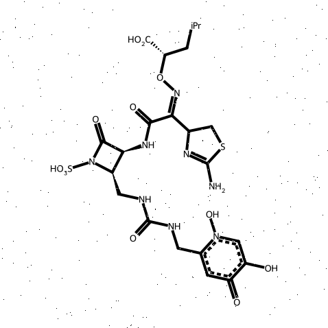 CC(C)C[C@H](O/N=C(\C(=O)N[C@@H]1C(=O)N(S(=O)(=O)O)[C@@H]1CNC(=O)NCc1cc(=O)c(O)cn1O)C1CSC(N)=N1)C(=O)O